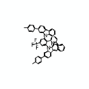 Cc1ccc(-c2ccc3c4ccccc4n(-c4cc(C(F)(F)F)cc(-n5c6ccccc6c6ccc(-c7ccc(C)cc7)cc65)c4-c4cccc(-c5ccccc5)n4)c3c2)cc1